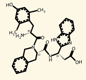 Cc1cc(O)cc(C)c1C[C@@H](N)C(=O)N1Cc2ccccc2C[C@H]1C(=O)N[C@@H](CC(=O)O)c1nc2ccccc2[nH]1